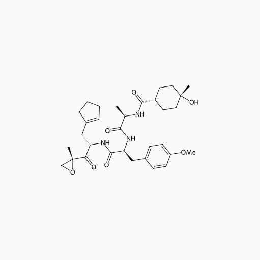 COc1ccc(C[C@H](NC(=O)[C@@H](C)NC(=O)[C@H]2CC[C@@](C)(O)CC2)C(=O)N[C@@H](CC2=CCCC2)C(=O)[C@@]2(C)CO2)cc1